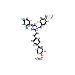 CCCCOc1ccc(-c2ccc(C=Cc3nc(-c4ccc(F)cc4F)cn3Cc3ccc(C(=O)O)cc3)cc2)cc1